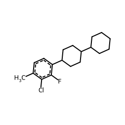 Cc1ccc(C2CCC(C3CCCCC3)CC2)c(F)c1Cl